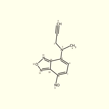 C#CCN(C)c1ccc(N=O)c2nonc12